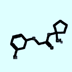 CCC1=CC=CC(OCC(=O)OC2(C)CCCC2)C1